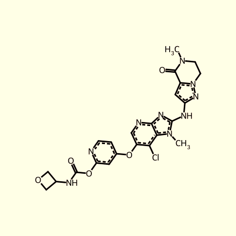 CN1CCn2nc(Nc3nc4ncc(Oc5ccnc(OC(=O)NC6COC6)c5)c(Cl)c4n3C)cc2C1=O